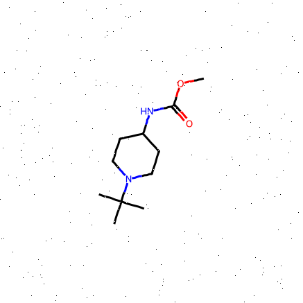 COC(=O)NC1CCN(C(C)(C)C)CC1